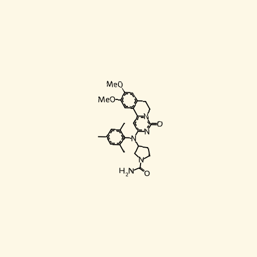 COc1cc2c(cc1OC)-c1cc(N(c3c(C)cc(C)cc3C)C3CCN(C(N)=O)C3)nc(=O)n1CC2